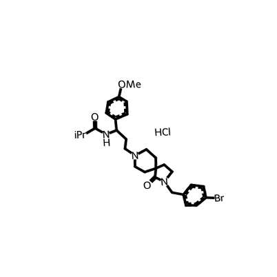 COc1ccc(C(CCN2CCC3(CC2)CCN(Cc2ccc(Br)cc2)C3=O)NC(=O)C(C)C)cc1.Cl